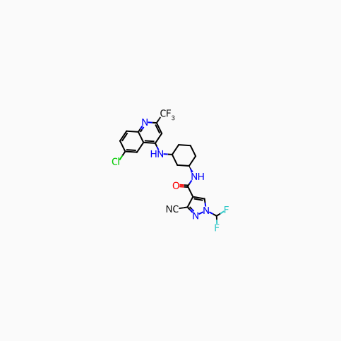 N#Cc1nn(C(F)F)cc1C(=O)N[C@@H]1CCCC(Nc2cc(C(F)(F)F)nc3ccc(Cl)cc23)C1